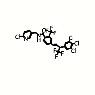 O=C(NCc1ccc(Cl)nc1)c1ccc(/C=C/C(c2cc(Cl)c(Cl)c(Cl)c2)C(F)(F)F)cc1C(F)(F)F